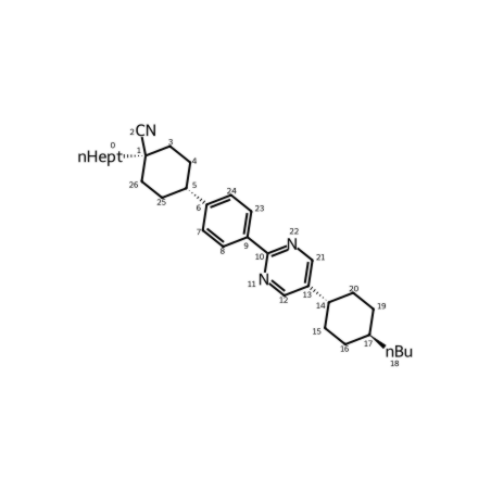 CCCCCCC[C@]1(C#N)CC[C@H](c2ccc(-c3ncc([C@H]4CC[C@H](CCCC)CC4)cn3)cc2)CC1